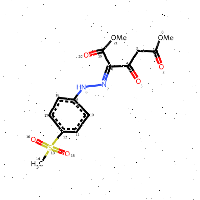 COC(=O)CC(=O)C(=NNc1ccc(S(C)(=O)=O)cc1)C(=O)OC